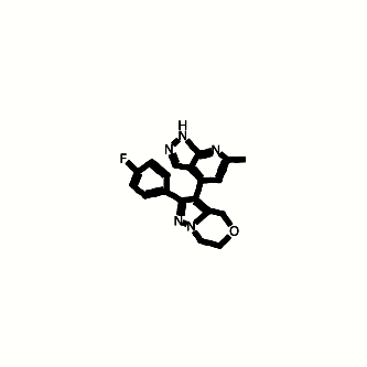 Cc1cc(-c2c(-c3ccc(F)cc3)nn3c2COCC3)c2cn[nH]c2n1